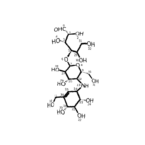 O=C[C@H](O)[C@@H](O)[C@H](OC1O[C@H](CO)C(NC2C=C(CO)[C@@H](O)C(O)[C@H]2O)[C@H](O)C1O)C(O)CO